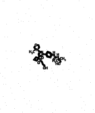 C[C@H]1COCCN1c1cc(C2(S(=O)(=O)CCCO)CCC2)nc(-c2ccc(NC(=O)NC(C)(C)CO)cc2)n1